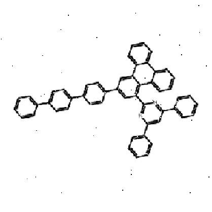 c1ccc(-c2ccc(-c3ccc(-c4cc(-c5nc(-c6ccccc6)cc(-c6ccccc6)n5)c5c6ccccc6c6ccccc6c5c4)cc3)cc2)cc1